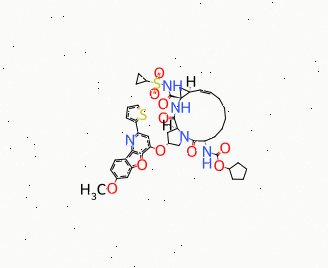 COc1ccc2c(c1)oc1c(O[C@@H]3C[C@H]4C(=O)N[C@]5(C(=O)NS(=O)(=O)C6CC6)C[C@H]5/C=C\CCCCC[C@H](NC(=O)OC5CCCC5)C(=O)N4C3)cc(-c3cccs3)nc12